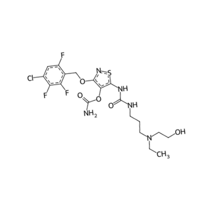 CCN(CCO)CCCNC(=O)Nc1snc(OCc2c(F)cc(Cl)c(F)c2F)c1OC(N)=O